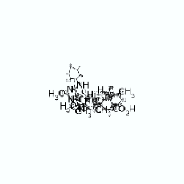 Cc1nc(NC2CCCCC2)c2c(n1)C(C)(C)[C@@H]1CC[C@]3(C)[C@H](CC=C4[C@@H]5[C@@H](C)[C@H](C)CC[C@]5(C(=O)O)CC[C@]43C)[C@@]1(C)C2